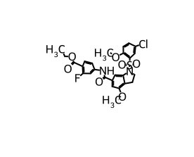 CCOC(=O)c1ccc(NC(=O)c2cc(OC)c3c(c2)N(S(=O)(=O)c2cc(Cl)ccc2OC)CC3)cc1F